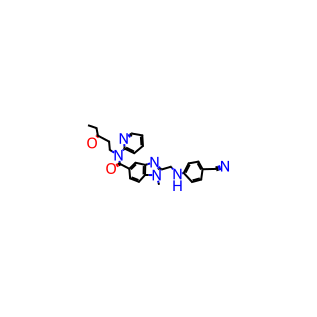 CCC(=O)CCN(C(=O)c1ccc2c(c1)nc(CNc1ccc(C#N)cc1)n2C)c1ccccn1